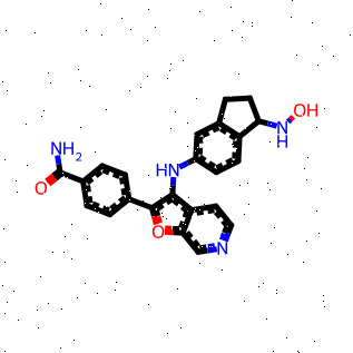 NC(=O)c1ccc(-c2oc3cnccc3c2Nc2ccc3c(c2)CCC3NO)cc1